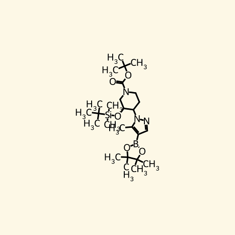 Cc1c(B2OC(C)(C)C(C)(C)O2)cnn1C1CCN(C(=O)OC(C)(C)C)CC1O[Si](C)(C)C(C)(C)C